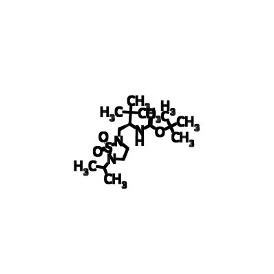 CC(C)N1CCN(C[C@H](NC(=O)OC(C)(C)C)C(C)(C)C)S1(=O)=O